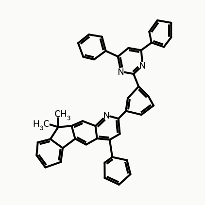 CC1(C)c2ccccc2-c2cc3c(-c4ccccc4)cc(-c4cccc(-c5nc(-c6ccccc6)cc(-c6ccccc6)n5)c4)nc3cc21